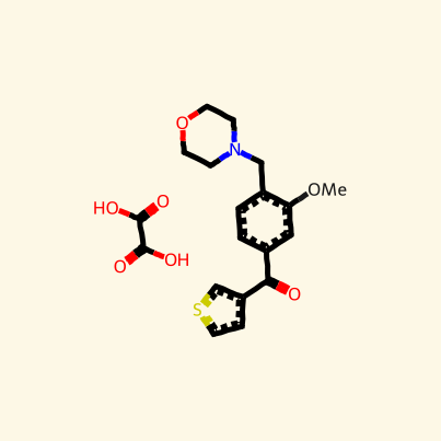 COc1cc(C(=O)c2ccsc2)ccc1CN1CCOCC1.O=C(O)C(=O)O